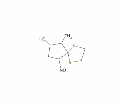 CC1CC(N=O)C2(SCCS2)C1C